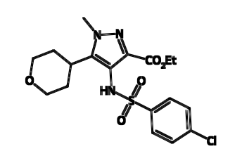 CCOC(=O)c1nn(C)c(C2CCOCC2)c1NS(=O)(=O)c1ccc(Cl)cc1